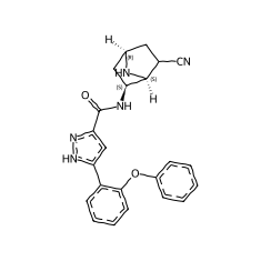 N#CC1C[C@@H]2C[C@H](NC(=O)c3cc(-c4ccccc4Oc4ccccc4)[nH]n3)[C@H]1N2